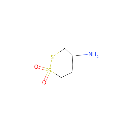 NC1CCS(=O)(=O)SC1